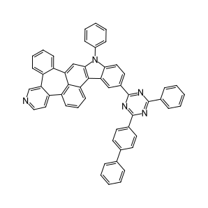 c1ccc(-c2ccc(-c3nc(-c4ccccc4)nc(-c4ccc5c(c4)c4c6cccc7c6c(cc4n5-c4ccccc4)-c4ccccc4-c4cnccc4-7)n3)cc2)cc1